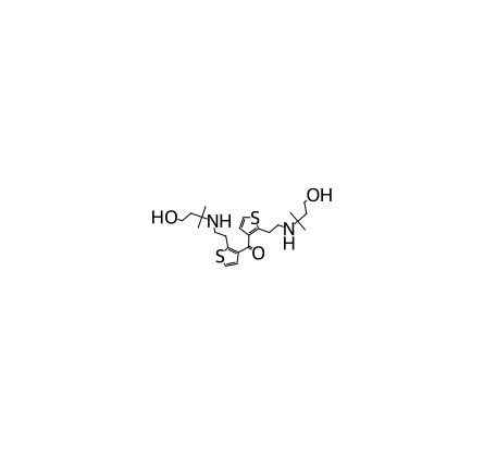 CC(C)(CCO)NCCc1sccc1C(=O)c1ccsc1CCNC(C)(C)CCO